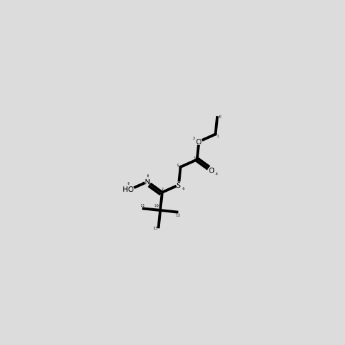 CCOC(=O)CSC(=NO)C(C)(C)C